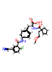 COCCC1(C(=O)N[C@@H](Cc2ccc(NC(=O)c3cc(C#N)ccc3Cl)cc2)C(=O)O)CCCC1